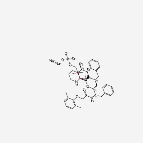 Cc1cccc(C)c1OCC(=O)N[C@@H](Cc1ccccc1)[C@H](C[C@H](Cc1ccccc1)NC(=O)[C@H](C(C)C)N1CCCNC1=O)OC(=O)CC(C)(C)COP(=O)([O-])[O-].[Na+].[Na+]